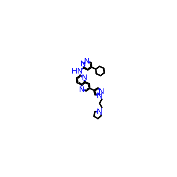 c1nc2ccc(Nc3cc(C4CCCCC4)cnn3)nc2cc1-c1cnn(CCCN2CCCC2)c1